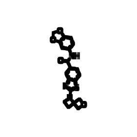 O=C(Nc1ccc2c(c1)OCO2)c1ccc2sc(N3CCC34COC4)nc2c1